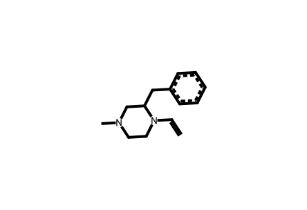 C=CN1CCN(C)CC1Cc1ccccc1